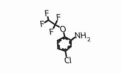 Nc1cc(Cl)ccc1OC(F)(F)C(F)F